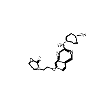 O=C1OCCN1CCOc1ccc2cnc(N[C@H]3CC[C@H](O)CC3)nc2c1